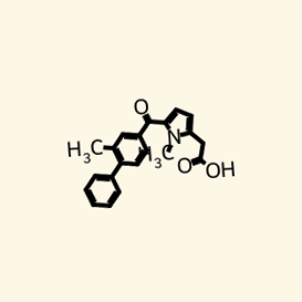 Cc1cc(C(=O)c2ccc(CC(=O)O)n2C)ccc1-c1ccccc1